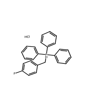 Cl.Fc1ccc(C[PH](c2ccccc2)(c2ccccc2)c2ccccc2)cc1